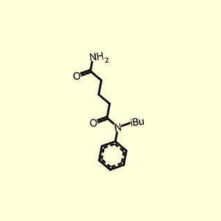 CCC(C)N(C(=O)CCCC(N)=O)c1ccccc1